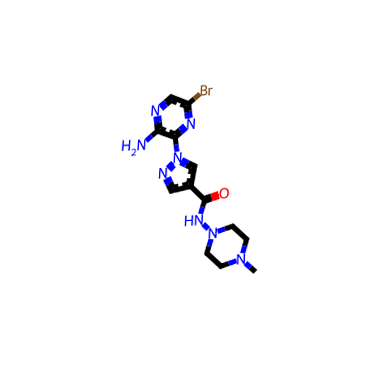 CN1CCN(NC(=O)c2cnn(-c3nc(Br)cnc3N)c2)CC1